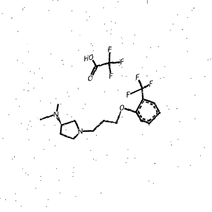 CN(C)[C@@H]1CCN(CCCOc2c[c]ccc2C(F)(F)F)C1.O=C(O)C(F)(F)F